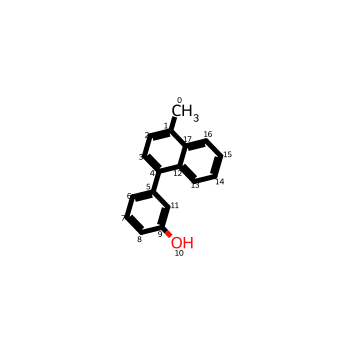 Cc1ccc(-c2cccc(O)c2)c2ccccc12